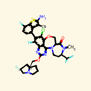 CN1C(=O)C2COc3c(Cl)c(-c4ccc(F)c5sc(N)c(C#N)c45)c(F)c4nc(OC[C@@]56CCCN5C[C@H](F)C6)nc(c34)N2CCC1C(F)F